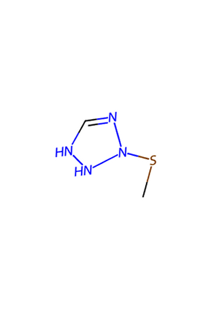 CSN1N=CNN1